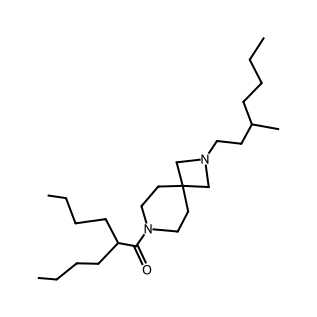 CCCCC(C)CCN1CC2(CCN(C(=O)C(CCCC)CCCC)CC2)C1